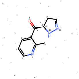 Cc1ncccc1C(=O)[C@H]1CC=NN1